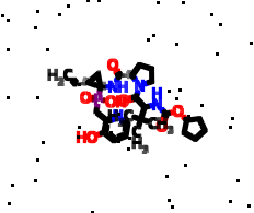 C=C[C@@H]1C[C@]1(NC(=O)[C@@H]1CCCN1C(=O)C(NC(=O)OC1CCCC1)C(C)(C)C)P(=O)(O)Cc1ncccc1O